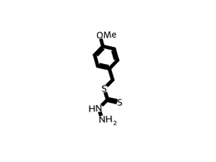 COc1ccc(CSC(=S)NN)cc1